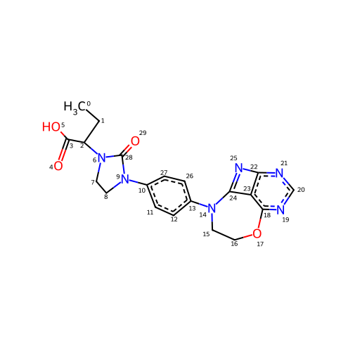 CCC(C(=O)O)N1CCN(c2ccc(N3CCOc4ncnc5c4C3=N5)cc2)C1=O